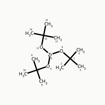 CC(C)(C)[O][Zr]([O]C(C)(C)C)[O]C(C)(C)C